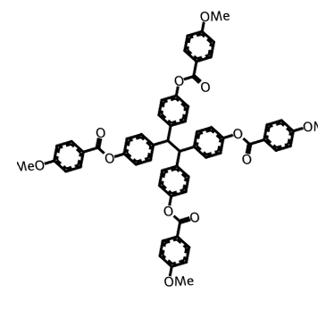 COc1ccc(C(=O)Oc2ccc(C(c3ccc(OC(=O)c4ccc(OC)cc4)cc3)C(c3ccc(OC(=O)c4ccc(OC)cc4)cc3)c3ccc(OC(=O)c4ccc(OC)cc4)cc3)cc2)cc1